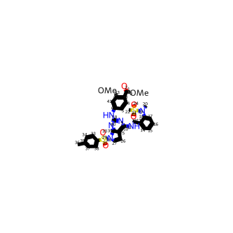 COC(=O)c1ccc(Nc2nc(NCc3ccccc3N(C)S(C)(=O)=O)c3ccn(S(=O)(=O)c4ccc(C)cc4)c3n2)cc1OC